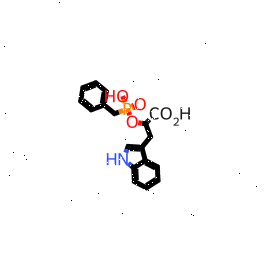 O=C(O)C(Cc1c[nH]c2ccccc12)OP(=O)(O)Cc1ccccc1